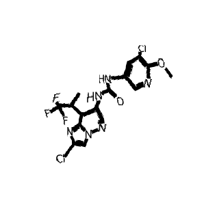 COc1ncc(NC(=O)Nc2cnn3cc(Cl)nc3c2C(C)C(F)(F)F)cc1Cl